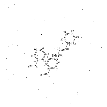 C=Cc1ccccc1.C=Cc1ccccc1.CC(C)(C)C=Cc1ccccc1